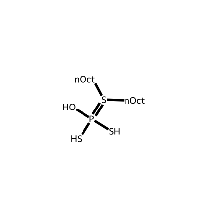 CCCCCCCCS(CCCCCCCC)=P(O)(S)S